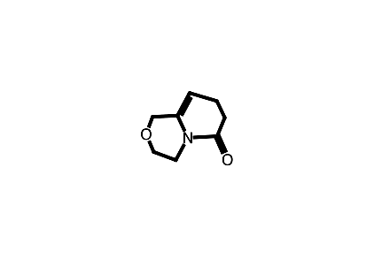 O=C1CCC=C2COCCN12